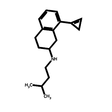 CC(C)CCNC1CCc2cccc(C3=CC3)c2C1